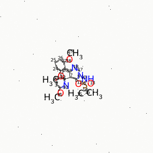 COc1cccc(C2=CN(NS(=O)(=O)C(C)C)C=NC2c2c(OC)cccc2OC)n1